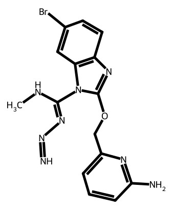 CN/C(=N\N=N)n1c(OCc2cccc(N)n2)nc2ccc(Br)cc21